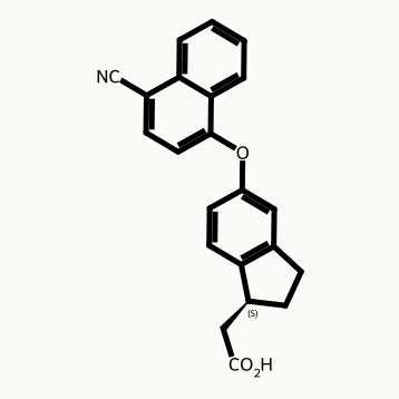 N#Cc1ccc(Oc2ccc3c(c2)CC[C@H]3CC(=O)O)c2ccccc12